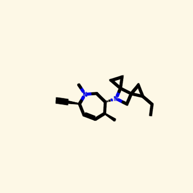 C#C[C@@H]1C=C[C@H](C)[C@@H](N2CC3(CC3CC)C23CC3)CN1C